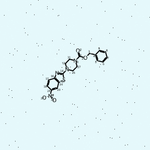 O=C(OCc1ccccc1)N1CCN(c2nc3ccc([N+](=O)[O-])cc3s2)CC1